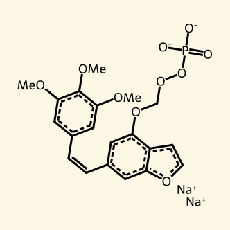 COc1cc(/C=C\c2cc(OCOOP(=O)([O-])[O-])c3ccoc3c2)cc(OC)c1OC.[Na+].[Na+]